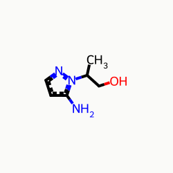 CC(CO)n1nccc1N